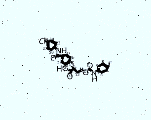 O=C(Nc1ccc(F)cc1)OCCC(Sc1ccc(C(=O)Nc2ccc(Cl)cc2)cc1)C(=O)O